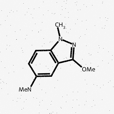 CNc1ccc2c(c1)c(OC)nn2C